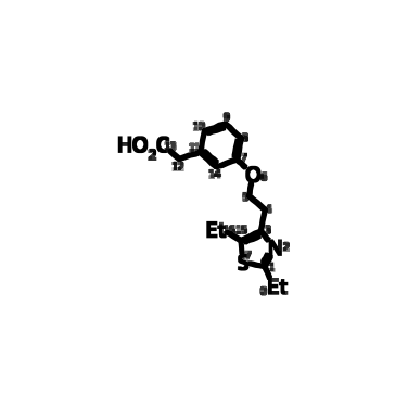 CCc1nc(CCOc2cccc(CC(=O)O)c2)c(CC)s1